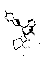 CC1Cn2cc(-c3nc(N[C@@H]4CCOC[C@@H]4N)c(F)c4c3C=NC4)cc2CO1